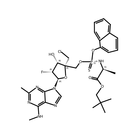 CNc1nc(C)nc2c1ncn2[C@@H]1O[C@](CCl)(CO[P@@](=S)(N[C@@H](C)C(=O)OCC(C)(C)C)Oc2cccc3ccccc23)[C@@H](O)[C@H]1F